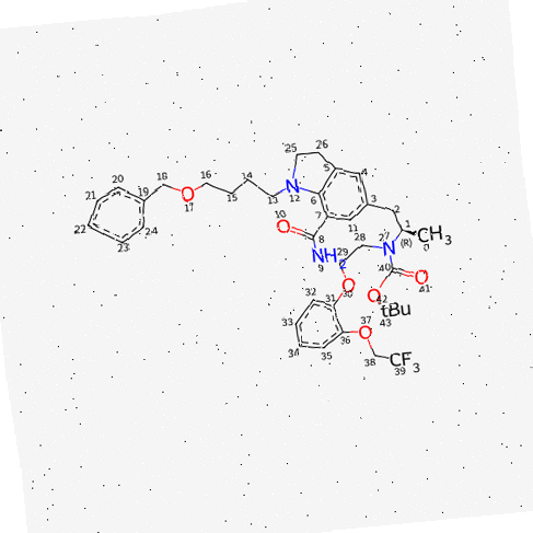 C[C@H](Cc1cc2c(c(C(N)=O)c1)N(CCCCOCc1ccccc1)CC2)N(CCOc1ccccc1OCC(F)(F)F)C(=O)OC(C)(C)C